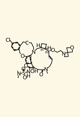 CN1CC/C=C/[C@H](OCCN2CCC23COC3)[C@@H]2CC[C@H]2CN2CCCCc3cc(Cl)ccc3COc3ccc(cc32)[C@@](O)(C(=O)NS(=O)(=O)N(C)C)CC1=O